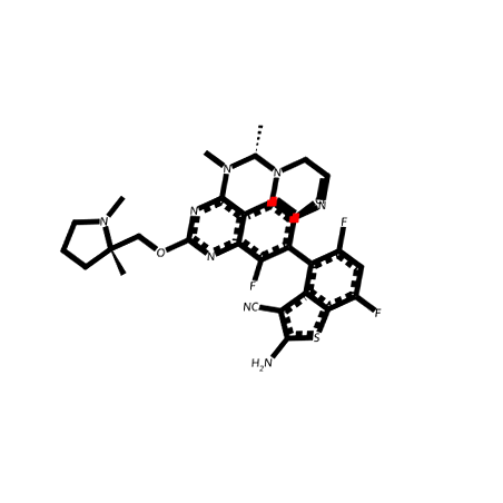 C[C@H](N1C=CN=CC1)N(C)c1nc(OC[C@]2(C)CCCN2C)nc2c(F)c(-c3c(F)cc(F)c4sc(N)c(C#N)c34)c(Cl)cc12